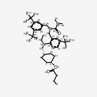 CCCC(=O)O[C@H]1CC[C@H](CN(CC)c2ncc(C(F)(F)F)cc2CN(Cc2cc(C(F)(F)F)cc(C(F)(F)F)c2)C(=O)N(C)C)CC1